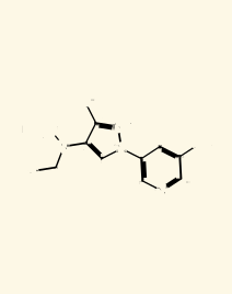 CC(C)(C)CN(C(=O)O)c1cn(-c2cncc(Cl)c2)nc1Cl